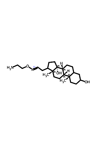 C[C@]12CCC(O)CC1CC[C@@H]1[C@H]2CC[C@]2(C)C(C/C=N/OCCN)CC[C@@]12O